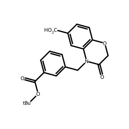 CC(C)(C)OC(=O)c1cccc(CN2C(=O)COc3ccc(C(=O)O)cc32)c1